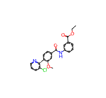 CCOC(=O)c1cccc(NC(=O)c2ccc(-c3ncccc3Cl)c(OC)c2)c1